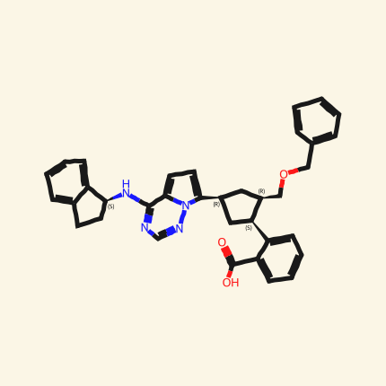 O=C(O)c1ccccc1[C@H]1C[C@@H](c2ccc3c(N[C@H]4CCc5ccccc54)ncnn23)C[C@H]1COCc1ccccc1